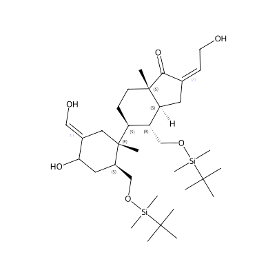 CC(C)(C)[Si](C)(C)OC[C@@H]1[C@@H]([C@@]2(C)C/C(=C\O)C(O)C[C@@H]2CO[Si](C)(C)C(C)(C)C)CC[C@]2(C)C(=O)/C(=C\CO)C[C@@H]12